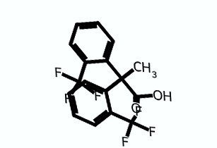 CC(C(=O)O)(c1ccccc1C(F)(F)F)c1ccccc1C(F)(F)F